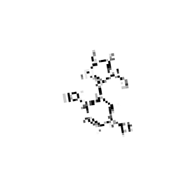 CCc1ccc(O)c(-c2nscc2C)c1